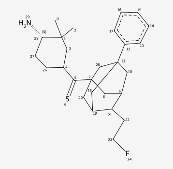 CC1(C)CC(C(=S)C23CC4CC(c5ccccc5)(CC(C2)C4CCF)C3)CC[C@@H]1N